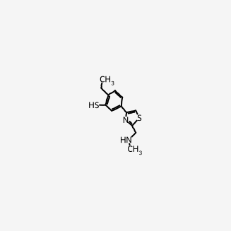 CCc1ccc(-c2csc(CNC)n2)cc1S